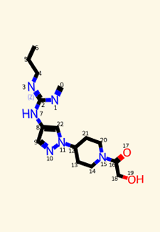 C=N/C(=N\CCC)Nc1cnn(C2CCN(C(=O)CO)CC2)c1